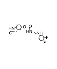 O=C(COc1ccc2c(c1)CC(=O)N2)NCCNc1ccc(F)c(F)c1